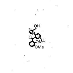 COc1cccc(C(=O)c2cc(Cl)ccc2-n2ccnc2CO)c1OC